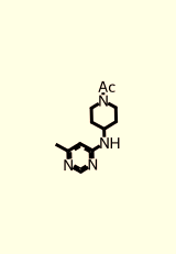 CC(=O)N1CCC(Nc2cc(C)ncn2)CC1